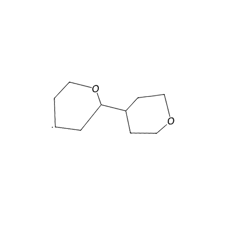 [CH]1CCOC(C2CCOCC2)C1